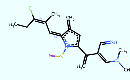 C=C(/C(C=N)=C/N(C)C)c1cc(=C)/c(=C\C(C)=C(\F)CC)n1SI